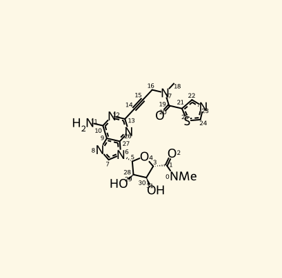 CNC(=O)[C@H]1O[C@@H](n2cnc3c(N)nc(C#CCN(C)C(=O)c4cncs4)nc32)[C@H](O)[C@@H]1O